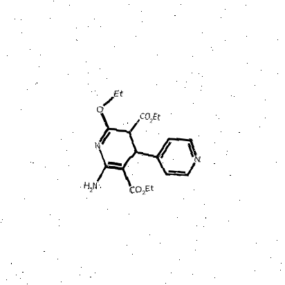 CCOC(=O)C1=C(N)N=C(OCC)C(C(=O)OCC)C1c1ccncc1